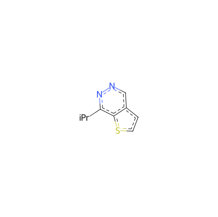 CC(C)c1nncc2ccsc12